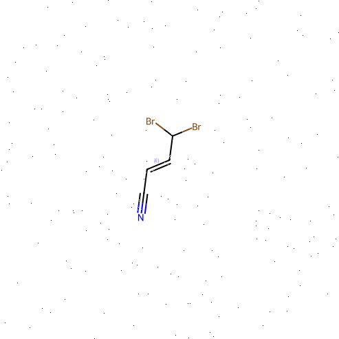 N#C/C=C/C(Br)Br